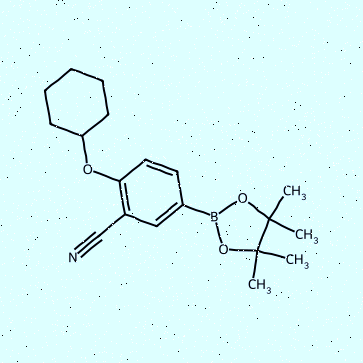 CC1(C)OB(c2ccc(OC3CCCCC3)c(C#N)c2)OC1(C)C